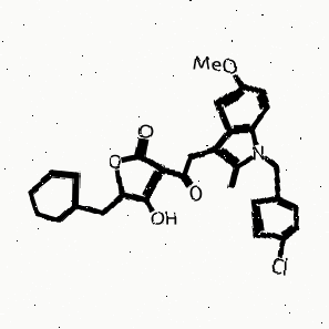 COc1ccc2c(c1)c(CC(=O)C1=C(O)C(CC3CCCCC3)OC1=O)c(C)n2Cc1ccc(Cl)cc1